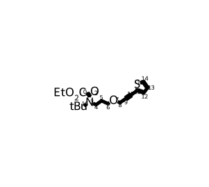 CCOC(=O)C(=O)N(CCCOCC#Cc1cccs1)C(C)(C)C